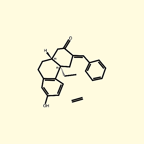 C=C.CC[C@@]12CC(=Cc3ccccc3)C(=O)C[C@H]1CCc1cc(O)ccc12